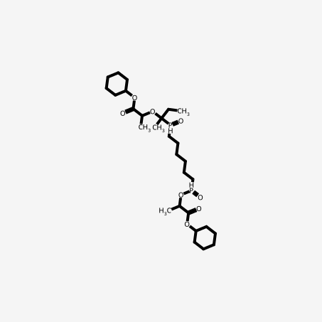 CCC(C)(OC(C)C(=O)OC1CCCCC1)[PH](=O)CCCCCC[PH](=O)OC(C)C(=O)OC1CCCCC1